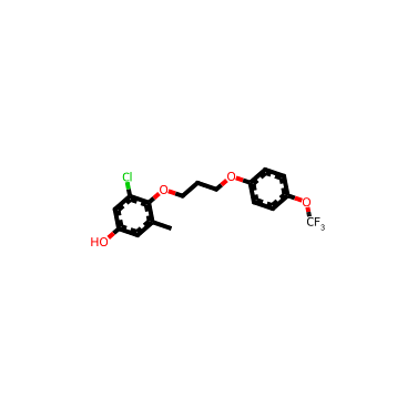 Cc1cc(O)cc(Cl)c1OCCCOc1ccc(OC(F)(F)F)cc1